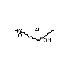 CCCCCCC(O)C/C=C\CCCCCCCC(=O)O.[Zr]